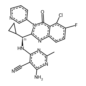 Cc1nc(N)c(C#N)c(N[C@H](c2nc3ccc(F)c(Cl)c3c(=O)n2-c2cccnc2)C2CC2)n1